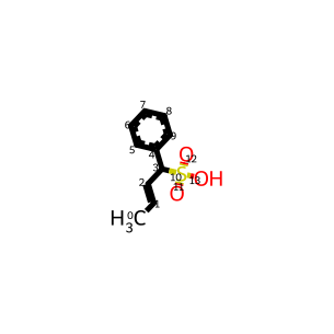 CC=CC(c1ccccc1)S(=O)(=O)O